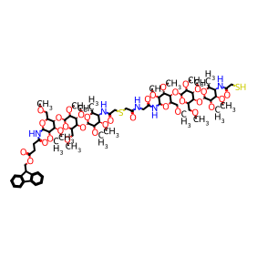 COCC1OC(NC(=O)CNC(=O)CSCC(=O)N[C@@H]2C(C)O[C@@H](O[C@H]3C(COC)O[C@@H](O[C@H]4C(COC)OC(NC(=O)CCC(=O)OCC5c6ccccc6-c6ccccc65)C(OC)[C@@H]4OC)C(OC)[C@@H]3OC)C(OC)[C@@H]2OC)C(OC)[C@H](OC)[C@H]1O[C@@H]1OC(COC)[C@H](O[C@@H]2OC(C)[C@@H](NC(=O)CS)[C@@H](OC)C2OC)[C@@H](OC)C1OC